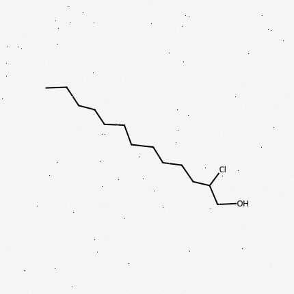 CCCCCCCCCCCC(Cl)CO